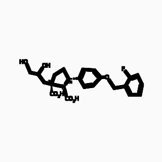 O=C(O)N1[C@@H](c2ccc(OCc3ccccc3F)cc2)CC[C@@]1(CC(O)CO)C(=O)O